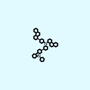 c1ccc(-n2c3ccccc3c3ccc(-c4cccc(N(c5ccc(-c6cccc7c6ccc6ccccc67)cc5)c5cccc6c5ccc5ccccc56)c4)cc32)cc1